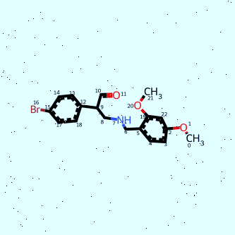 COc1ccc(CNCC(C=O)c2ccc(Br)cc2)c(OC)c1